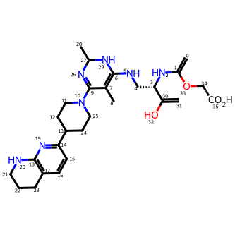 C=C(N[C@@H](CNC1=C(C)C(N2CCC(c3ccc4c(n3)NCCC4)CC2)=NC(C)N1)C(=C)O)OCC(=O)O